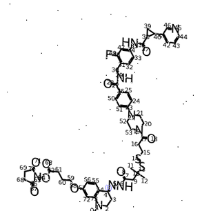 CN1CC/C(=N\NC(=O)CC(C)(C)SSCCC(=O)N2CCN(c3ccc(C(=O)NCc4ccc(NC(=O)C5CC5c5cccnc5)cc4F)cc3)CC2)c2ccc(OCCCC(=O)ON3C(=O)CCC3=O)cc21